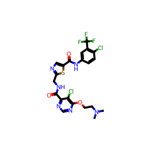 CN(C)CCOc1ncnc(C(=O)NCc2ncc(C(=O)Nc3ccc(Cl)c(C(F)(F)F)c3)s2)c1Cl